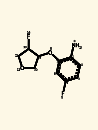 Nc1ccc(F)cc1OC1COCC1F